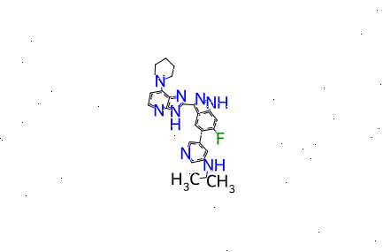 CC(C)Nc1cncc(-c2cc3c(-c4nc5c(N6CCCCC6)ccnc5[nH]4)n[nH]c3cc2F)c1